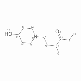 CCC(=O)C(C)CCN1CCC(O)CC1